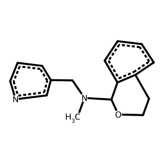 CN(Cc1cccnc1)C1OCCc2ccccc21